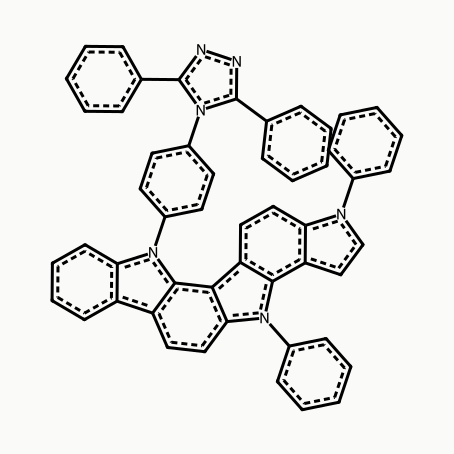 c1ccc(-c2nnc(-c3ccccc3)n2-c2ccc(-n3c4ccccc4c4ccc5c(c6ccc7c(ccn7-c7ccccc7)c6n5-c5ccccc5)c43)cc2)cc1